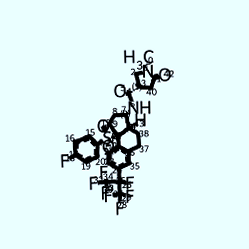 CN1C[C@@H](C(=O)N[C@@H]2CC[C@@]3(S(=O)(=O)c4ccc(F)cc4)c4ccc(C(F)(C(F)(F)F)C(F)(F)F)cc4CC[C@@H]23)CC1=O